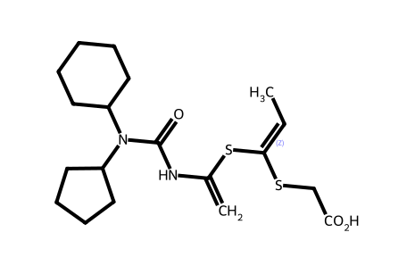 C=C(NC(=O)N(C1CCCCC1)C1CCCC1)S/C(=C\C)SCC(=O)O